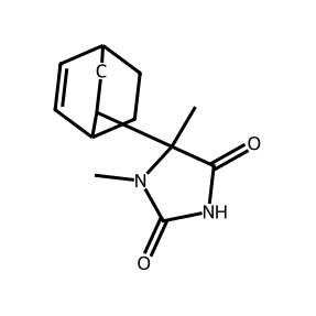 CN1C(=O)NC(=O)C1(C)C1CC2C=CC1CC2